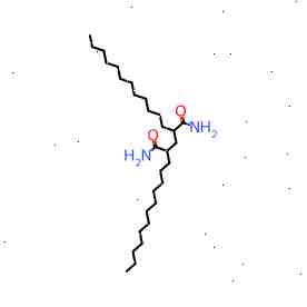 CCCCCCCCCCCCC(CC(CCCCCCCCCCCC)C(N)=O)C(N)=O